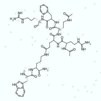 CN[C@@H](Cc1c[nH]c2ccccc12)C(=O)NC(CCCNC(=O)CCC(NC(=O)C(CCNC(=N)N)NC(C)=O)C(=O)N[C@@H](CCNC(C)=O)C(=O)NC(Cc1ccccc1)C(=O)N[C@H](C=O)CCCNC(=N)N)C(N)=O